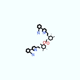 CC1C(OC(=O)C[C@H]2CC[C@H](C)[C@@H](C)[C@@H]2/C=C/c2ccc(-c3ccccc3C#N)cn2)C[C@H](C)[C@@H](C)[C@@H]1/C=C/c1ccc(-c2ccccc2C#N)cn1